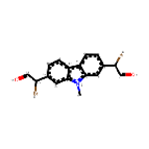 Cn1c2cc(C(Br)C=O)ccc2c2ccc(C(Br)C=O)cc21